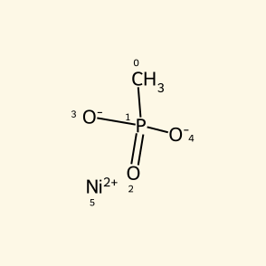 CP(=O)([O-])[O-].[Ni+2]